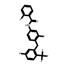 O=C(Nc1ccc(Cc2cc(F)ccc2C(F)(F)F)c(F)c1)c1ccccc1F